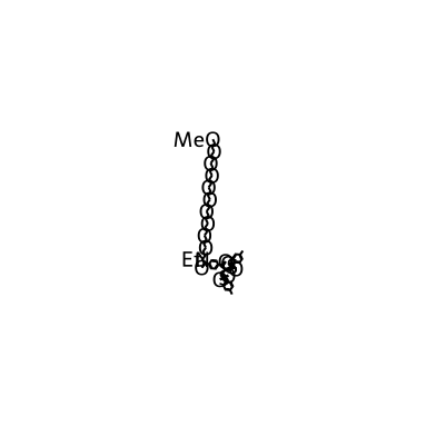 CCN(CCOCCOCCOCCOCCOCCOCCOCCOCCOCCOC)C(=O)c1ccc(C(=O)C(CS(=O)(=O)c2ccc(C)cc2)CS(=O)(=O)c2ccc(C)cc2)cc1